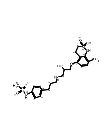 Cc1ccc(OCC(O)CNCCCc2ccc(NS(C)(=O)=O)cc2)c2c1NS(=O)(=O)CC2